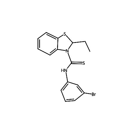 CCC1Sc2ccccc2N1C(=S)Nc1cccc(Br)c1